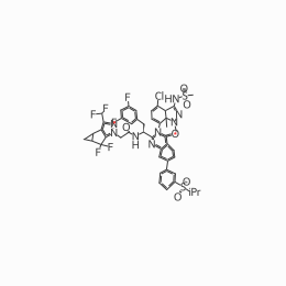 CC(C)S(=O)(=O)c1cccc(-c2ccc3c(=O)n(C4=CC=C(Cl)C5C(NS(C)(=O)=O)=NN(C)C45C)c([C@H](Cc4cc(F)cc(F)c4)NC(=O)Cn4nc(C(F)F)c5c4C(F)(F)C4CC54)nc3c2)c1